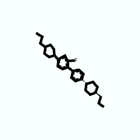 CCCC1CCC(c2ccc(-c3ccc([C@H]4CC[C@H](CCC)CC4)cc3)c(F)c2)CC1